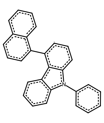 [c]1ccc2c(c1-c1cccc3ccccc13)c1ccccc1n2-c1ccccc1